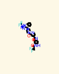 O=C(Nc1ccc2nc(-c3ccnc(C(=O)N4CCN([C@@H](c5ccccc5)c5nnn(C(F)F)n5)CC4)c3)oc2c1)[C@@H]1CC1(F)F